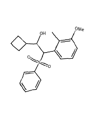 COc1cccc(C(C(O)C2CCC2)S(=O)(=O)c2ccccc2)c1C